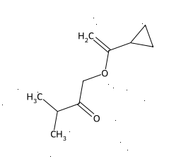 C=C(OCC(=O)C(C)C)C1CC1